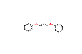 C(=COc1ccccc1)COc1ccccc1